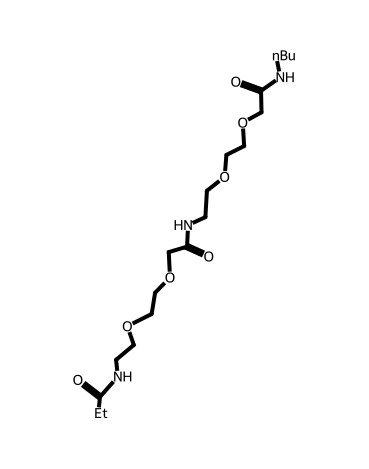 CCCCNC(=O)COCCOCCNC(=O)COCCOCCNC(=O)CC